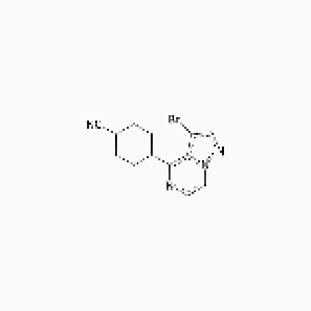 N#CC1CCC(c2nccn3ncc(Br)c23)CC1